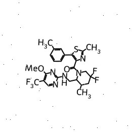 COc1nc(NCC2C(C)CC(F)(F)CN2C(=O)c2nc(C)sc2-c2cccc(C)c2)ncc1C(F)(F)F